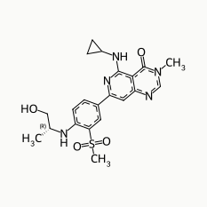 C[C@H](CO)Nc1ccc(-c2cc3ncn(C)c(=O)c3c(NC3CC3)n2)cc1S(C)(=O)=O